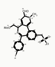 CCS(=O)(=O)Cc1ccc2c(c1)C1=CN(C)C(C=O)C=C1C(COC)N=C2c1ccc(F)cc1